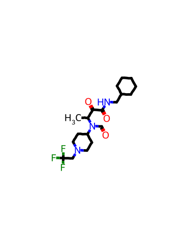 CC(C(=O)C(=O)NCC1CCCCC1)N(C=O)C1CCN(CC(F)(F)F)CC1